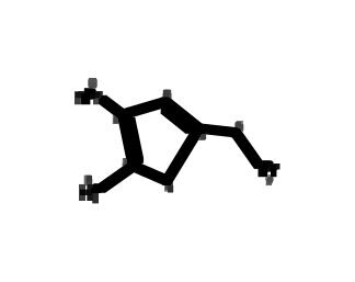 CCCC1=[C]([Hf])CC(CC(C)C)=C1